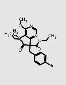 CCOC(=O)C(Cc1ccc(Br)cc1)(C(=O)OCC)c1ncnc(OC)c1OC